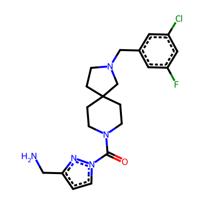 NCc1ccn(C(=O)N2CCC3(CCN(Cc4cc(F)cc(Cl)c4)C3)CC2)n1